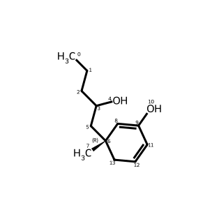 CCCC(O)C[C@]1(C)C=C(O)C=CC1